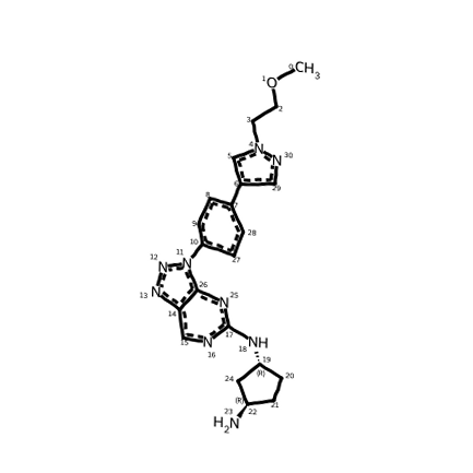 COCCn1cc(-c2ccc(-n3nnc4cnc(N[C@@H]5CC[C@@H](N)C5)nc43)cc2)cn1